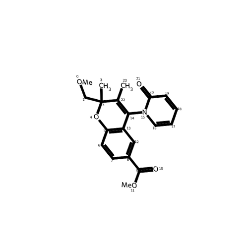 COCC1(C)Oc2ccc(C(=O)OC)cc2C(n2ccccc2=O)=C1C